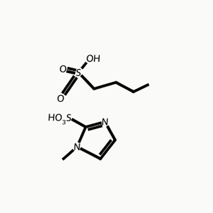 CCCCS(=O)(=O)O.Cn1ccnc1S(=O)(=O)O